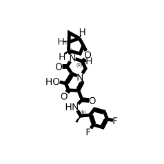 C[C@@H](NC(=O)c1cn2c(c(O)c1=O)C(=O)N1[C@@H](C2)OC2C[C@H]1[C@H]1C[C@@H]21)c1ccc(F)cc1F